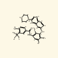 O=C(Nc1cc(F)c(F)c(Oc2ccc3ncc(N4CCOCC4)nc3c2)c1F)c1ccc(Cl)c(C(F)(F)F)c1